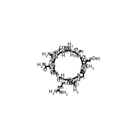 CCCCCCCCCCCC[C@H](C)[C@H]1NC(=O)[C@@H]2CCCN2C(=O)[C@H](CC(N)=O)N(C)C(=O)[C@H](CCCN=C(N)N)NC(=O)CNC(=O)[C@H](CCC(N)=O)NC(=O)[C@H](CC(N)=O)NC(=O)[C@@H](CC(=O)O)NC(=O)[C@H](C)NC(=O)[C@H](C(C)C)NC(=O)[C@@H]1O